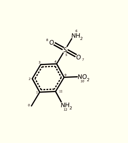 Cc1ccc(S(N)(=O)=O)c([N+](=O)[O-])c1N